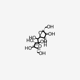 OC[C@H]1OC(O)(C(O)C2O[C@H](CO)[C@@H](O)[C@@H]2O)[C@@H](O)[C@@H]1O